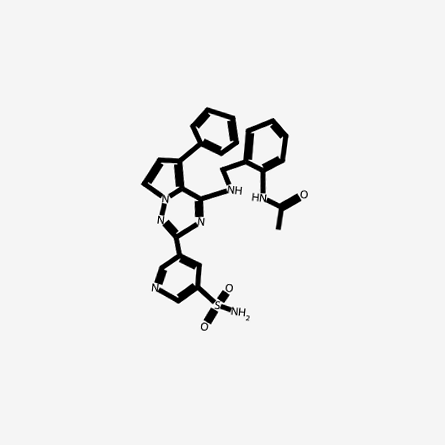 CC(=O)Nc1ccccc1CNc1nc(-c2cncc(S(N)(=O)=O)c2)nn2ccc(-c3ccccc3)c12